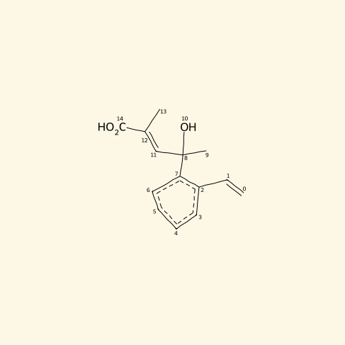 C=Cc1ccccc1C(C)(O)C=C(C)C(=O)O